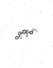 Cc1cccc(-c2nc3ccc(N4CCCC(C(=O)N5CCCC5)C4)nc3[nH]2)c1